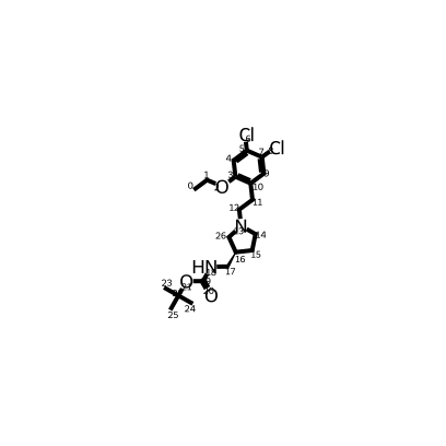 CCOc1cc(Cl)c(Cl)cc1CCN1CC[C@@H](CNC(=O)OC(C)(C)C)C1